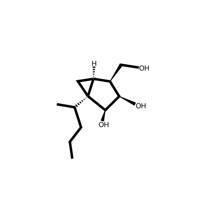 CCCC(C)[C@]12C[C@H]1[C@@H](CO)[C@@H](O)[C@H]2O